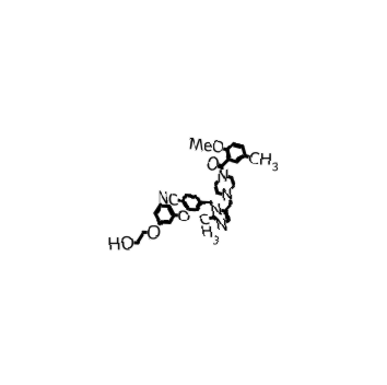 COc1ccc(C)cc1C(=O)N1CCN(Cc2cnc(C)n2Cc2ccc(C#N)c(Oc3cccc(OCCO)c3)c2)CC1